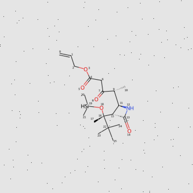 C=CCOC(=O)CC(=O)[C@H](C)[C@H]1NC(=O)[C@@H]1[C@@](C)(O[SiH](C)C)C(C)(C)C